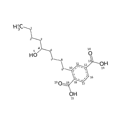 CCCCC(O)CCCCc1cc(C(=O)O)ccc1C(=O)O